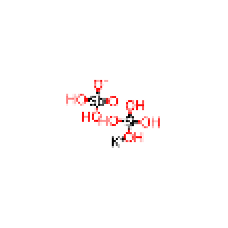 O[Si](O)(O)O.[K+].[O]=[Sb]([O-])([OH])[OH]